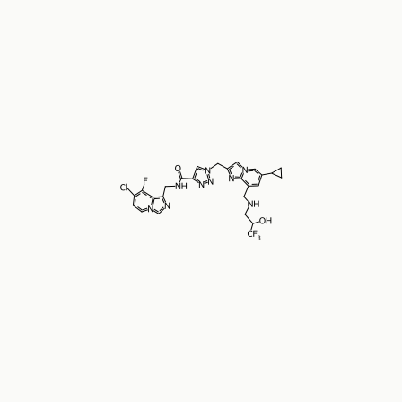 O=C(NCc1ncn2ccc(Cl)c(F)c12)c1cn(Cc2cn3cc(C4CC4)cc(CNCC(O)C(F)(F)F)c3n2)nn1